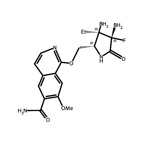 B[C@]1(CC)[C@@H](COc2nccc3cc(C(N)=O)c(OC)cc23)NC(=O)[C@@]1(B)F